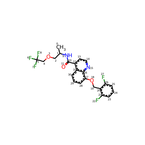 CC(COCC(F)(F)F)NC(=O)c1ccnc2c(OCc3c(F)cccc3F)cccc12